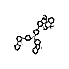 CC1(C)c2ccccc2C2(c3ccccc3-c3ccc(-c4ccc(N(c5ccc(-c6cccc7c6SC6C=CC=CC76)cc5)c5ccc6oc7ccccc7c6c5)cc4)cc32)c2ccccc21